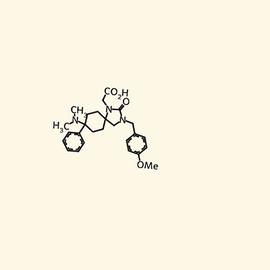 COc1ccc(CN2CC3(CCC(c4ccccc4)(N(C)C)CC3)N(CC(=O)O)C2=O)cc1